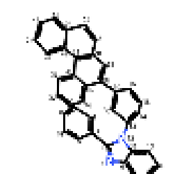 c1ccc(-c2nc3ccccc3n2-c2cccc(-c3cc4ccc5ccccc5c4c4ccccc34)c2)cc1